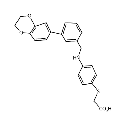 O=C(O)CSc1ccc(NCc2cccc(-c3ccc4c(c3)OCCO4)c2)cc1